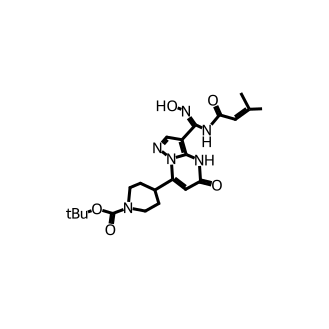 CC(C)=CC(=O)N/C(=N/O)c1cnn2c(C3CCN(C(=O)OC(C)(C)C)CC3)cc(=O)[nH]c12